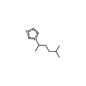 CC(C)CCC(C)n1ccnc1